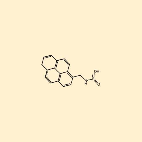 O=[PH](O)NCc1ccc2c3c4c(ccc13)C=CC[C@@H]4C=C2